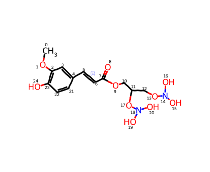 COc1cc(/C=C/C(=O)OCC(CON(O)O)ON(O)O)ccc1O